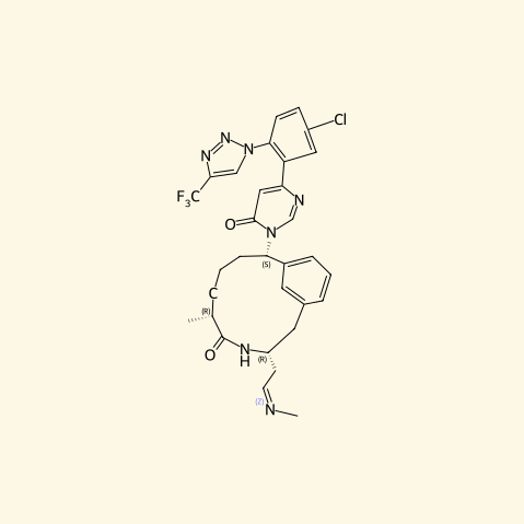 C/N=C\C[C@H]1Cc2cccc(c2)[C@@H](n2cnc(-c3cc(Cl)ccc3-n3cc(C(F)(F)F)nn3)cc2=O)CCC[C@@H](C)C(=O)N1